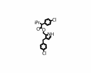 CC(C)C(C(=O)OCc1[nH]ccc1Cc1ccc(Cl)cc1)c1ccc(Cl)cc1